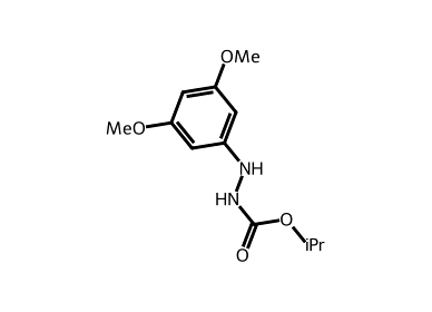 COc1cc(NNC(=O)OC(C)C)cc(OC)c1